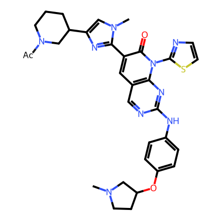 CC(=O)N1CCCC(c2cn(C)c(-c3cc4cnc(Nc5ccc(OC6CCN(C)C6)cc5)nc4n(-c4nccs4)c3=O)n2)C1